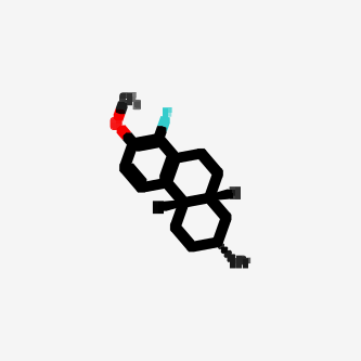 CCC[C@@H]1CC[C@@H]2c3ccc(OC(F)(F)F)c(F)c3CC[C@@H]2C1